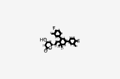 Cc1cc(C2=CC(c3ccc(F)c(C)c3)=C(/C=C/[C@@H]3C[C@@H](O)CC(=O)O3)C(C)(C)C2)ccc1F